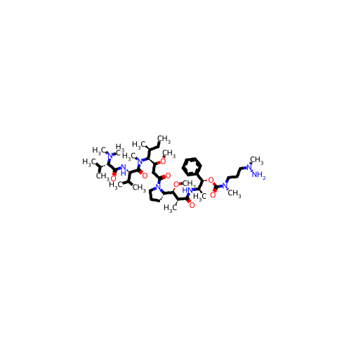 CC[C@H](C)[C@@H](C(CC(=O)N1CCC[C@H]1[C@H](OC)[C@@H](C)C(=O)N[C@H](C)[C@@H](OC(=O)N(C)CCCN(C)N)c1ccccc1)OC)N(C)C(=O)[C@@H](NC(=O)[C@H](C(C)C)N(C)C)C(C)C